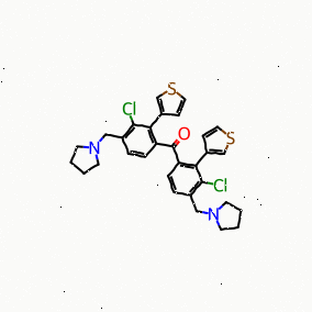 O=C(c1ccc(CN2CCCC2)c(Cl)c1-c1ccsc1)c1ccc(CN2CCCC2)c(Cl)c1-c1ccsc1